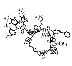 Cc1sc2c(c1C)C(c1ccc(Cl)cc1)=N[C@@H](CC(=O)NC[C@H]1NC(=O)[C@@H](CCCCN)NC(=O)[C@@H](Cc3ccc(-c4ccccc4)cc3)NC(=O)[C@@H]3C[C@@H](O)CN3C(=O)[C@H](C(C)(C)C)NC(=O)COCCNC1=O)c1nnc(C)n1-2